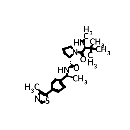 CN[C@H](C(=O)N1CCC[C@H]1C(=O)N[C@@H](C)c1ccc(-c2scnc2C)cc1)C(C)(C)C